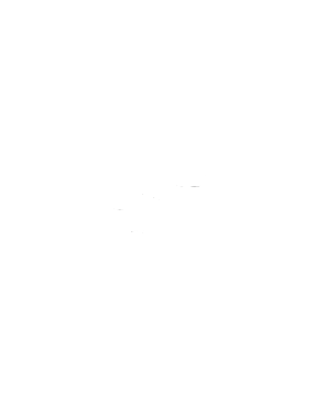 CCCCCC(C)P